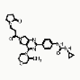 CC1COCCN1c1nc(-c2ccc(NC(=O)NC3CC3)cc2)nc2c1CN(C(=O)CCN1CCCC1=O)C2